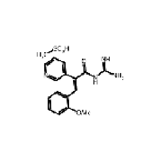 COc1ccccc1/C=C(/C(=O)NC(=N)N)c1cccnc1.CS(=O)(=O)O